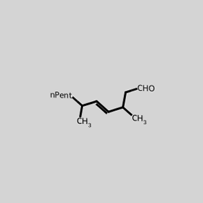 CCCCCC(C)C=CC(C)CC=O